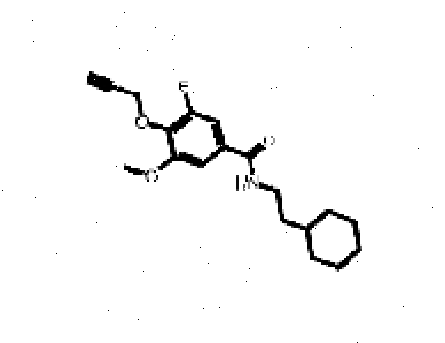 C#CCOc1c(F)cc(C(=O)NCCC2CCCCC2)cc1OC